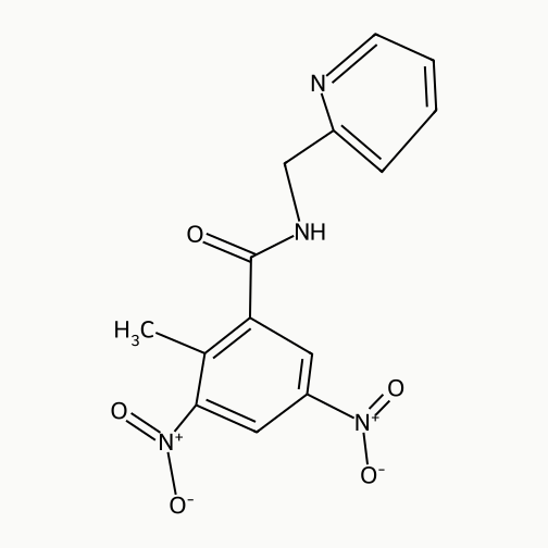 Cc1c(C(=O)NCc2ccccn2)cc([N+](=O)[O-])cc1[N+](=O)[O-]